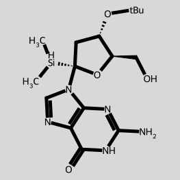 C[SiH](C)[C@]1(n2cnc3c(=O)[nH]c(N)nc32)C[C@H](OC(C)(C)C)[C@@H](CO)O1